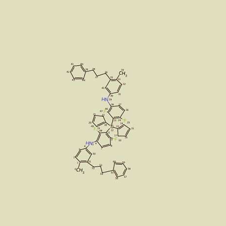 Cc1ccc(Nc2ccc(F)[c]([Ti]([C]3=CC=CC3)([C]3=CC=CC3)[c]3c(F)ccc(Nc4ccc(C)c(CCCc5ccccc5)c4)c3F)c2F)cc1CCCc1ccccc1